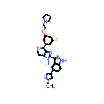 Cn1cc(-c2ccc3[nH]nc(-c4nc5c(-c6cc(F)cc(OCCN7CCCC7)c6)nccc5[nH]4)c3c2)cn1